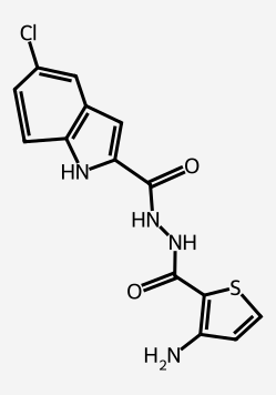 Nc1ccsc1C(=O)NNC(=O)c1cc2cc(Cl)ccc2[nH]1